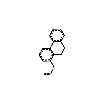 CCCCCCCCCOc1cccc2c1CCc1ccccc1-2